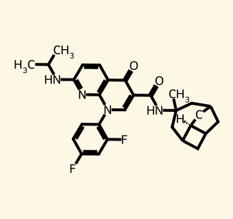 CC(C)Nc1ccc2c(=O)c(C(=O)NC3(C)CC4CC5CC(C3)[C@H]5C4)cn(-c3ccc(F)cc3F)c2n1